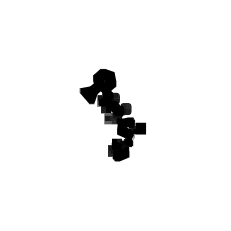 O=C(N[C@H]1CN[C@H](Cn2ccnn2)C1)c1nnc(-c2ccccc2C2CC2)o1